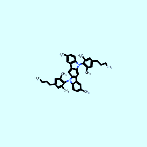 CCCCc1cc(C)c(-n2c3ccc(C)cc3c3cc4c(cc32)c2cc(C)ccc2n4-c2c(C)cc(CCCC)cc2C)c(C)c1